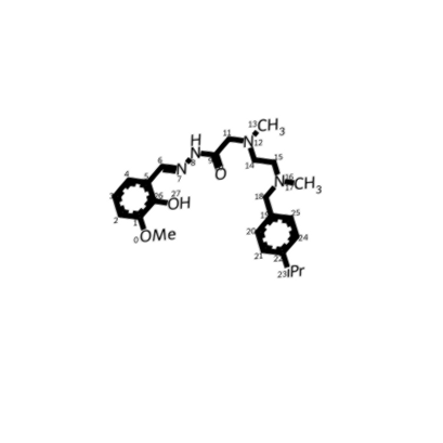 COc1cccc(C=NNC(=O)CN(C)CCN(C)Cc2ccc(C(C)C)cc2)c1O